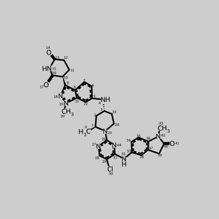 C[C@H]1C[C@H](Nc2ccc3c([C@@H]4CCC(=O)NC4=O)nn(C)c3c2)CCN1c1ncc(Cl)c(Nc2ccc3c(c2)CC(=O)N3C)n1